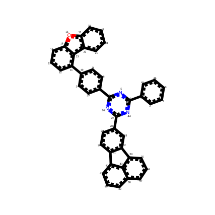 c1ccc(-c2nc(-c3ccc(-c4cccc5oc6ccccc6c45)cc3)nc(-c3ccc4c(c3)-c3cccc5cccc-4c35)n2)cc1